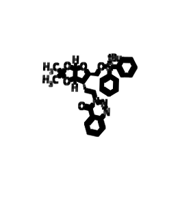 CC1(C)O[C@@H]2O[C@@H](CO[Si](c3ccccc3)(c3ccccc3)C(C)(C)C)[C@H](CCn3nnc4ccccc4c3=O)[C@@H]2O1